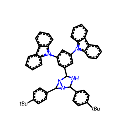 CC(C)(C)c1ccc(C2NC(c3cc(-n4c5ccccc5c5ccccc54)cc(-n4c5ccccc5c5ccccc54)c3)N3C(c4ccc(C(C)(C)C)cc4)N23)cc1